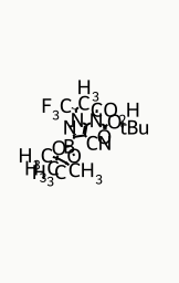 C[C@H](n1nc(B2OC(C)(C)C(C)(C)O2)c(C#N)c1N(C(=O)O)C(=O)OC(C)(C)C)C(F)(F)F